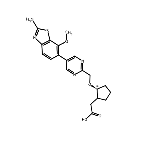 COc1c(-c2cnc(CO[C@H]3CCCC3CC(=O)O)nc2)ccc2nc(N)sc12